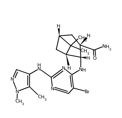 Cc1c(Nc2ncc(Br)c(N[C@H]3[C@@H](C(N)=O)C[C@H]4C[C@@H]3C4(C)C)n2)cnn1C